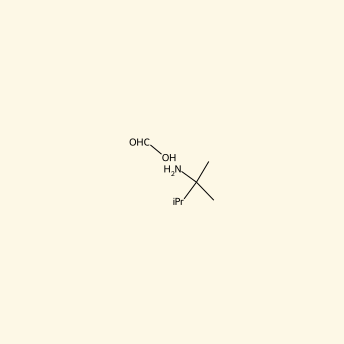 CC(C)C(C)(C)N.O=CO